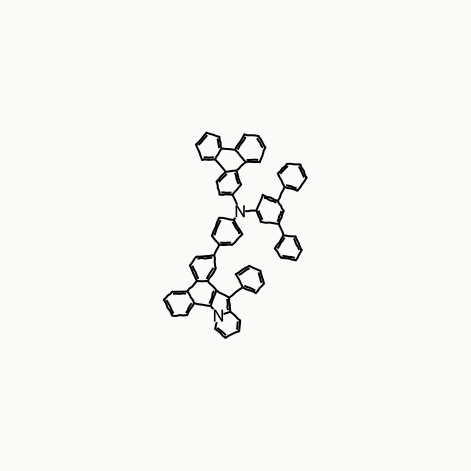 c1ccc(-c2cc(-c3ccccc3)cc(N(c3ccc(-c4ccc5c6ccccc6c6c(c(-c7ccccc7)c7ccccn76)c5c4)cc3)c3ccc4c5ccccc5c5ccccc5c4c3)c2)cc1